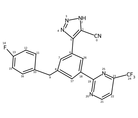 N#Cc1[nH]nnc1-c1cc(Cc2ccc(F)cc2)cc(-c2nccc(C(F)(F)F)n2)c1